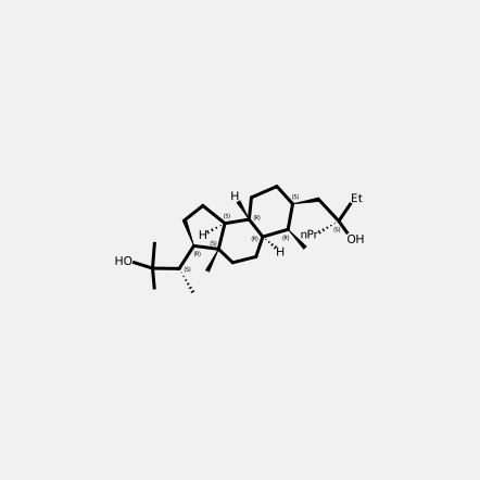 CCC[C@@](O)(CC)C[C@@H]1CC[C@@H]2[C@H](CC[C@]3(C)[C@@H]([C@H](C)C(C)(C)O)CC[C@@H]23)[C@@H]1C